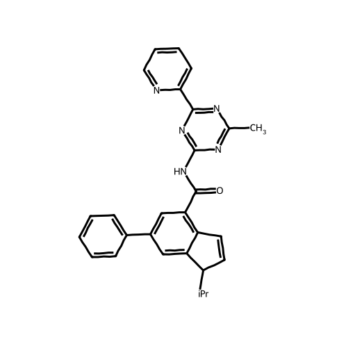 Cc1nc(NC(=O)c2cc(-c3ccccc3)cc3c2C=CC3C(C)C)nc(-c2ccccn2)n1